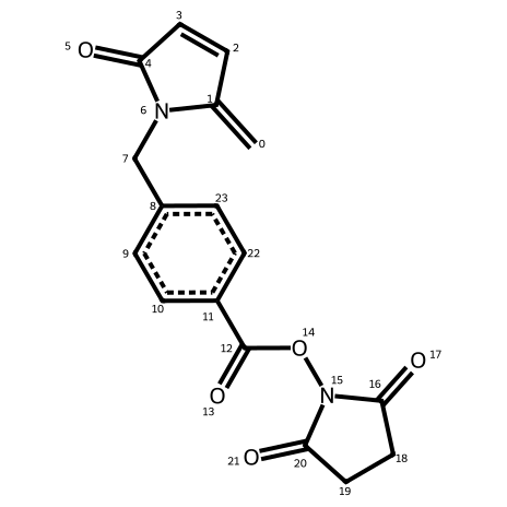 C=C1C=CC(=O)N1Cc1ccc(C(=O)ON2C(=O)CCC2=O)cc1